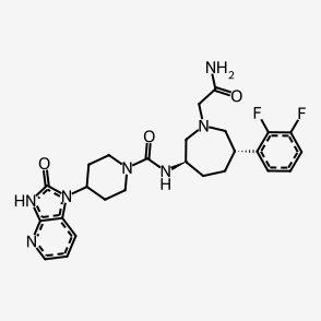 NC(=O)CN1C[C@H](NC(=O)N2CCC(n3c(=O)[nH]c4ncccc43)CC2)CC[C@@H](c2cccc(F)c2F)C1